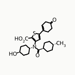 C[C@H]1CC[C@H](C(=O)N(c2cc(C3=CCC(=O)CC3)sc2C(=O)O)[C@H]2CC[C@H](O)CC2)CC1